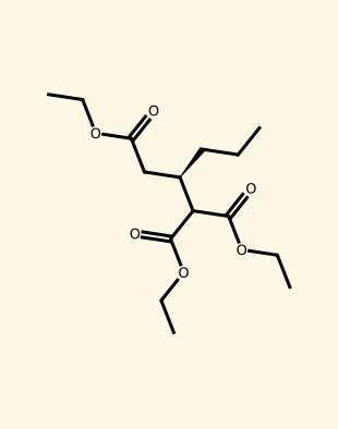 CCC[C@H](CC(=O)OCC)C(C(=O)OCC)C(=O)OCC